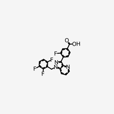 O=C(O)c1ccc(-c2nn(Cc3c(F)ccc(F)c3F)c3cccnc23)c(F)c1